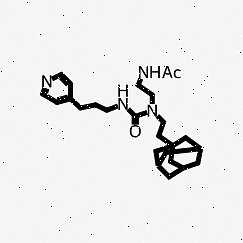 CC(=O)NCCN(CCC12CC3CC(CC(C3)C1)C2)C(=O)NCCCc1ccncc1